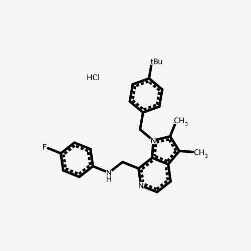 Cc1c(C)n(Cc2ccc(C(C)(C)C)cc2)c2c(CNc3ccc(F)cc3)nccc12.Cl